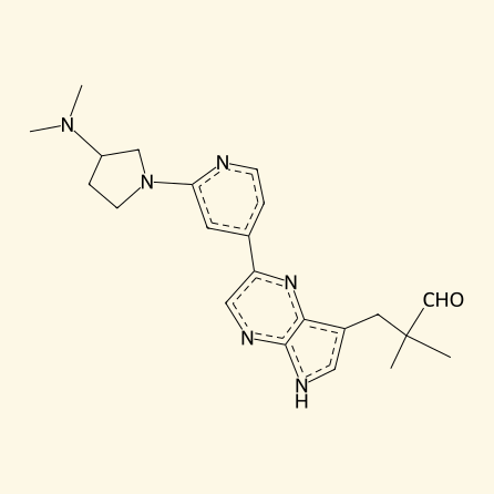 CN(C)C1CCN(c2cc(-c3cnc4[nH]cc(CC(C)(C)C=O)c4n3)ccn2)C1